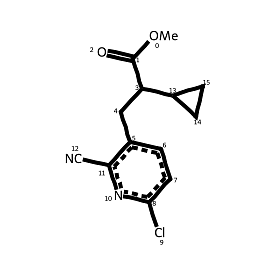 COC(=O)C(Cc1ccc(Cl)nc1C#N)C1CC1